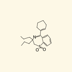 CCCC1(CCC)CS(=O)(=O)c2ccccc2C(C2=CCCCC2)=N1